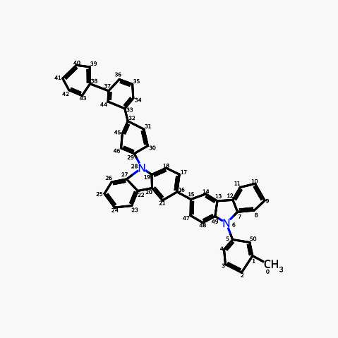 Cc1cccc(-n2c3ccccc3c3cc(-c4ccc5c(c4)c4ccccc4n5-c4ccc(-c5cccc(-c6ccccc6)c5)cc4)ccc32)c1